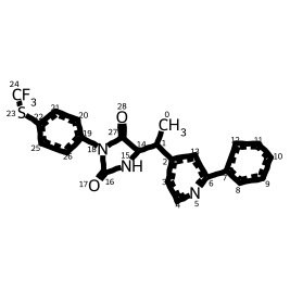 CC(c1ccnc(-c2ccccc2)c1)C1NC(=O)N(c2ccc(SC(F)(F)F)cc2)C1=O